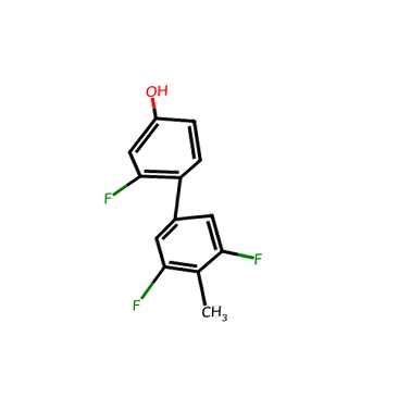 Cc1c(F)cc(-c2ccc(O)cc2F)cc1F